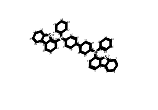 C1=CC2C3CCCCC3SC2C(N(C2=CCCCC2)C2CCC(C3C=CC(N(C4=C5SC6CCCCC6C5CCC4)C4CCCCC4)CC3)CC2)C1